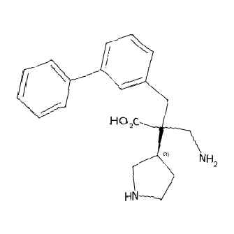 NCC(Cc1cccc(-c2ccccc2)c1)(C(=O)O)[C@H]1CCNC1